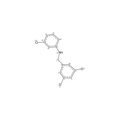 Clc1cc(Cl)cc(CNc2cccc(Cl)c2)c1